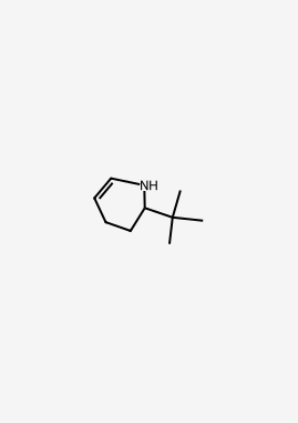 CC(C)(C)C1CCC=CN1